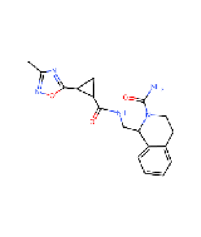 Cc1noc(C2CC2C(=O)NCC2c3ccccc3CCN2C(N)=O)n1